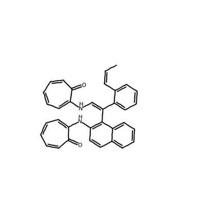 C/C=C\c1ccccc1/C(=C/Nc1cccccc1=O)c1c(Nc2cccccc2=O)ccc2ccccc12